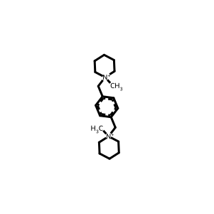 C[N+]1(Cc2ccc(C[N+]3(C)CCCCC3)cc2)CCCCC1